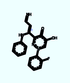 N=C/C=C(\Nc1ccccc1)c1nn(-c2ccccc2F)cc(O)c1=O